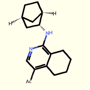 CC(=O)c1cnc(N[C@@H]2C[C@H]3CC[C@@H]2C3)c2c1CCCC2